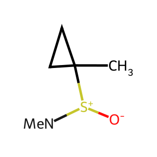 CN[S+]([O-])C1(C)CC1